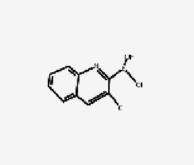 OB(O)c1nc2ccccc2cc1Cl